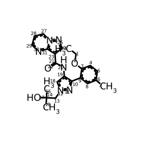 CCOc1ccc(C)cc1-c1nn(CC(C)(C)O)cc1NC(=O)c1cnn2cccnc12